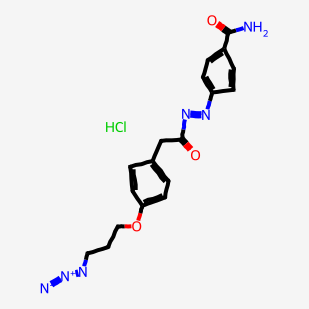 Cl.[N-]=[N+]=NCCCOc1ccc(CC(=O)N=Nc2ccc(C(N)=O)cc2)cc1